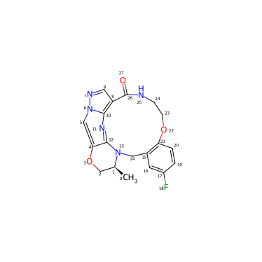 C[C@H]1COc2cn3ncc4c3nc2N1Cc1cc(F)ccc1OCCNC4=O